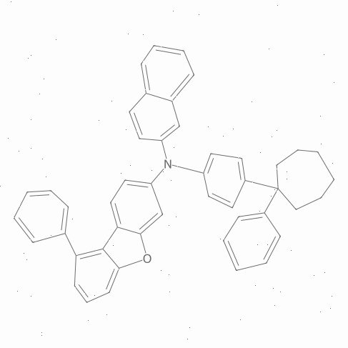 c1ccc(-c2cccc3oc4cc(N(c5ccc(C6(c7ccccc7)CCCCCC6)cc5)c5ccc6ccccc6c5)ccc4c23)cc1